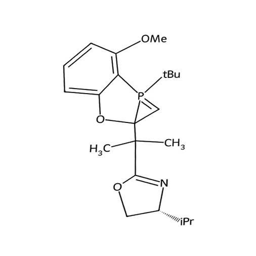 COc1cccc2c1P1(C(C)(C)C)=CC1(C(C)(C)C1=N[C@H](C(C)C)CO1)O2